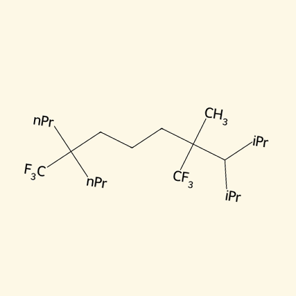 CCCC(CCC)(CCCC(C)(C(C(C)C)C(C)C)C(F)(F)F)C(F)(F)F